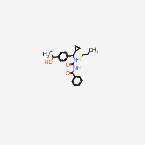 CCCSN(C(=O)NC(=O)c1ccccc1)C(c1ccc(C(C)O)cc1)C1CC1